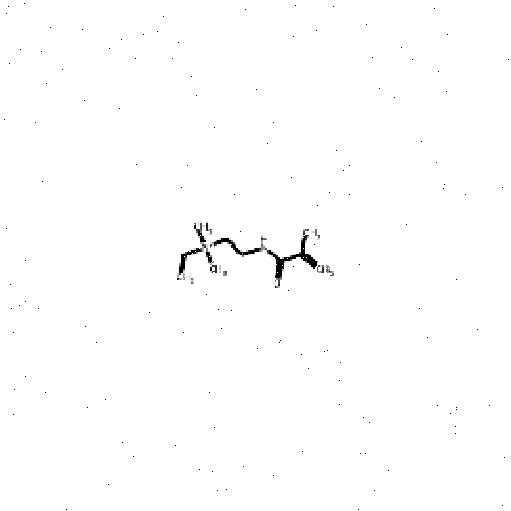 C=C(C)C(=O)NCC[N+](C)(C)CC